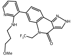 COCCCNc1ncccc1-c1ccc2c3n[nH]cc3c(=O)n(CC(F)(F)F)c2c1